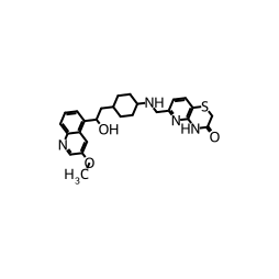 COc1cnc2cccc(C(O)CC3CCC(NCc4ccc5c(n4)NC(=O)CS5)CC3)c2c1